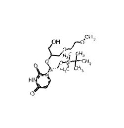 COCCOCC(CO)O[C@H](CO[Si](C)(C)C(C)(C)C)n1ccc(=O)[nH]c1=O